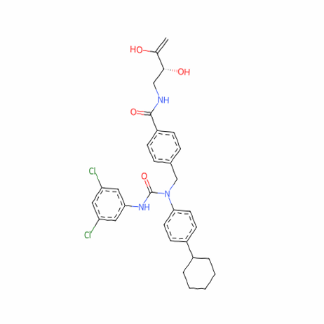 C=C(O)[C@H](O)CNC(=O)c1ccc(CN(C(=O)Nc2cc(Cl)cc(Cl)c2)c2ccc(C3CCCCC3)cc2)cc1